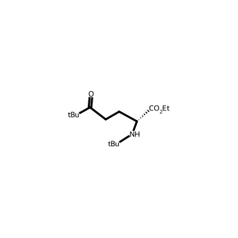 CCOC(=O)[C@@H](CCC(=O)C(C)(C)C)NC(C)(C)C